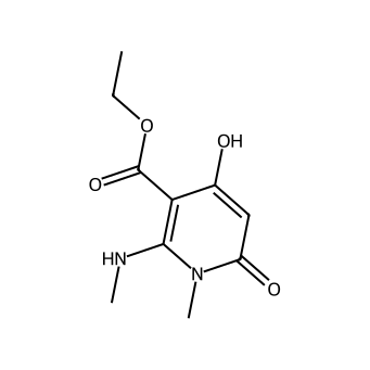 CCOC(=O)c1c(O)cc(=O)n(C)c1NC